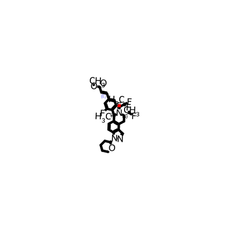 COC(=O)/C=C/c1cc(F)c([C@]2(C)c3ccc4c(cnn4C4CCCCO4)c3C[C@@H](C(F)F)N2CC(C)(C)F)c(F)c1